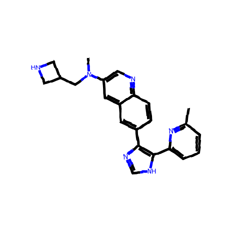 Cc1cccc(-c2[nH]cnc2-c2ccc3ncc(N(C)CC4CNC4)cc3c2)n1